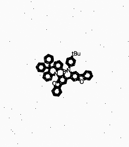 CC(C)(C)c1ccc(N2B3c4cccc5c4N(c4ccccc4C5(c4ccccc4)c4ccccc4)c4c3c(cc3c4oc4ccccc43)-c3cc4oc5ccccc5c4cc32)cc1